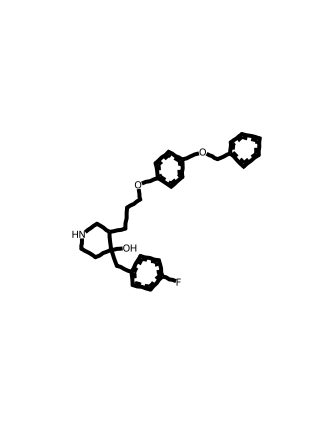 OC1(Cc2ccc(F)cc2)CCNCC1CCCOc1ccc(OCc2ccccc2)cc1